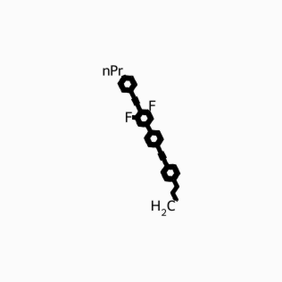 C=CCCc1ccc(C#Cc2ccc(-c3cc(F)c(C#Cc4ccc(CCC)cc4)c(F)c3)cc2)cc1